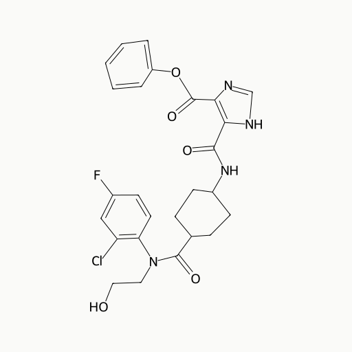 O=C(Oc1ccccc1)c1nc[nH]c1C(=O)NC1CCC(C(=O)N(CCO)c2ccc(F)cc2Cl)CC1